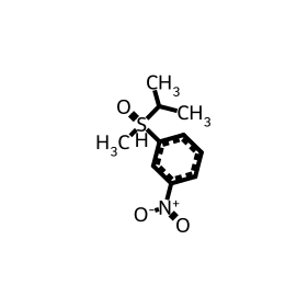 CC(C)[SH](C)(=O)c1cccc([N+](=O)[O-])c1